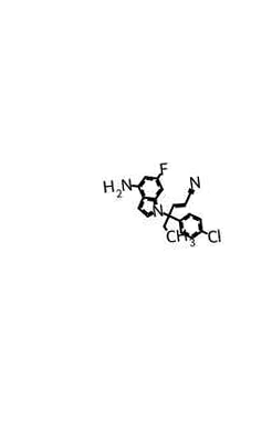 CCC(C=CC#N)(c1ccc(Cl)cc1)n1ccc2c(N)cc(F)cc21